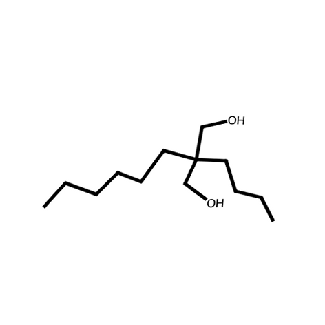 CCCCCCC(CO)(CO)CCCC